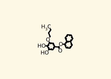 CCCCOc1cc(C(=O)Oc2cccc3ccccc23)cc(O)c1O